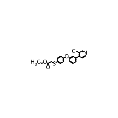 CCOC(=O)CSc1ccc(Oc2cccc(-c3ccncc3Cl)c2)cc1